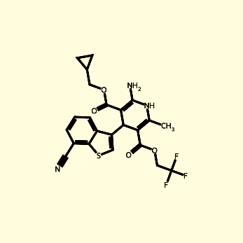 CC1=C(C(=O)OCC(F)(F)F)C(c2csc3c(C#N)cccc23)C(C(=O)OCC2CC2)=C(N)N1